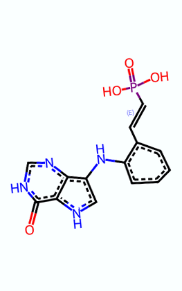 O=c1[nH]cnc2c(Nc3ccccc3/C=C/P(=O)(O)O)c[nH]c12